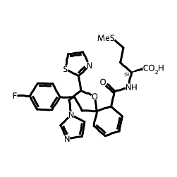 CSCC[C@H](NC(=O)C1C=CC=CC1(CCc1ccc(F)cc1)OC(Cn1ccnc1)c1nccs1)C(=O)O